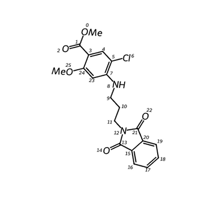 COC(=O)c1cc(Cl)c(NCCCN2C(=O)c3ccccc3C2=O)cc1OC